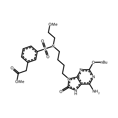 CCCCOc1nc(N)c2[nH]c(=O)n(CCCCN(CCOC)S(=O)(=O)c3cccc(CC(=O)OC)c3)c2n1